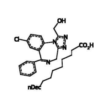 CCCCCCCCCCCCCCCCCC(=O)O.OCc1nnc2n1-c1ccc(Cl)cc1C(c1ccccc1)=NC2